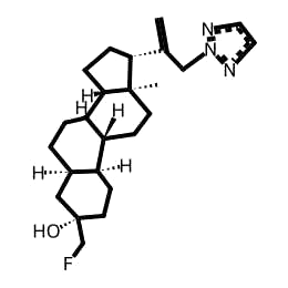 C=C(Cn1nccn1)[C@H]1CC[C@H]2[C@@H]3CC[C@@H]4C[C@](O)(CF)CC[C@@H]4[C@H]3CC[C@]12C